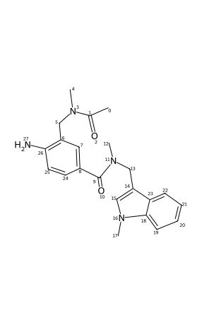 CC(=O)N(C)Cc1cc(C(=O)N(C)Cc2cn(C)c3ccccc23)ccc1N